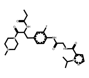 CCC(=O)NC(Cc1ccc(NC(=O)CNC(=O)c2ccnn2C(C)C)c(F)c1)C(=O)N1CCN(C)CC1